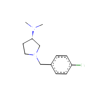 CN(C)[C@@H]1CCN(Cc2ccc(Br)cc2)C1